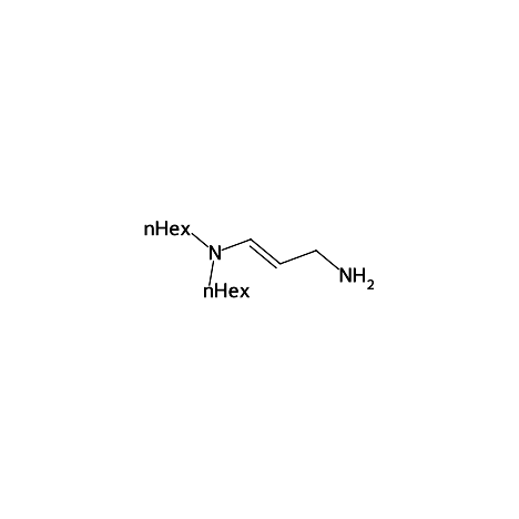 CCCCCCN(C=CCN)CCCCCC